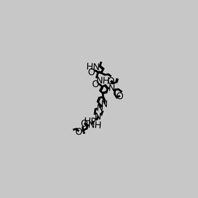 C=CC(=O)N(c1cc(C(=O)NCc2c(CCC)cc(C)[nH]c2=O)cc(-c2ccc(N3CCN(CPNC(=O)CC(C)(C)OCC)CC3)nc2)c1)C1CCOCC1